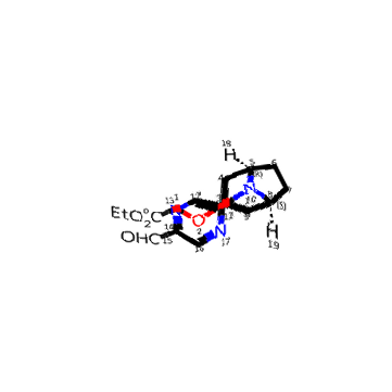 CCOC(=O)COC1C[C@H]2CC[C@@H](C1)N2c1cnc(C=O)cn1